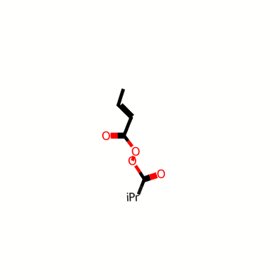 CC=CC(=O)OOC(=O)C(C)C